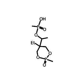 CCC1(C(C)OP(C)(=O)O)COP(C)(=O)OC1